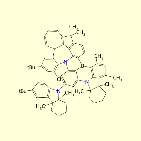 Cc1cc(C)c2c3c1B1c4ccc5c6c4N(c4cc(N7c8ccc(C(C)(C)C)cc8C8(C)CCCCC78C)cc(c41)N3C1(C)CCCCC21C)c1c(C)cc(C(C)(C)C)cc1C1C=CC=CC(=C61)C5(C)C